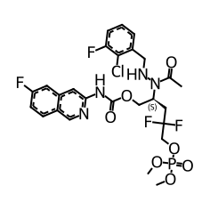 COP(=O)(OC)OCC(F)(F)C[C@@H](COC(=O)Nc1cc2cc(F)ccc2cn1)N(NCc1cccc(F)c1Cl)C(C)=O